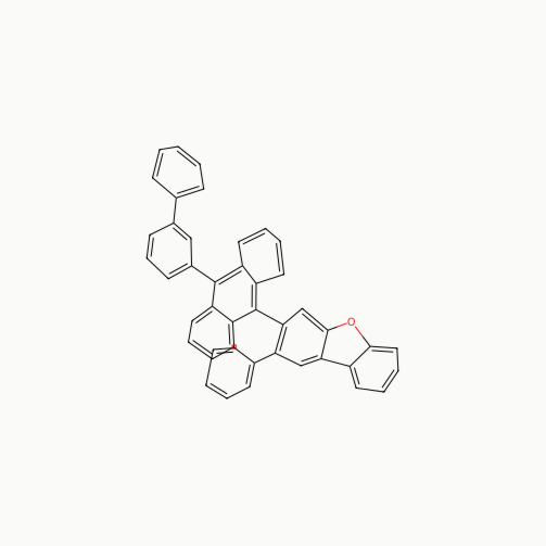 c1ccc(-c2cccc(-c3c4ccccc4c(-c4cc5oc6ccccc6c5cc4-c4ccccc4)c4ccccc34)c2)cc1